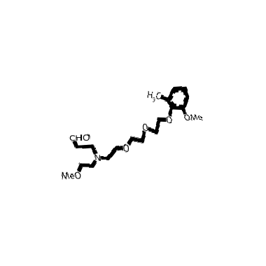 COCCN(CCC=O)CCOCCOCCOc1c(C)cccc1OC